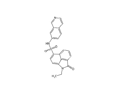 CCN1C(=O)c2cccc3c(S(=O)(=O)Nc4ccc5ccncc5c4)ccc1c23